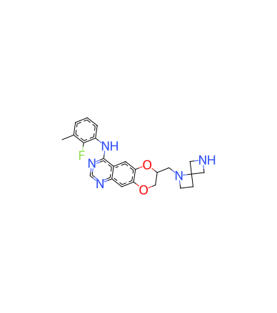 Cc1cccc(Nc2ncnc3cc4c(cc23)OC(CN2CCC23CNC3)CO4)c1F